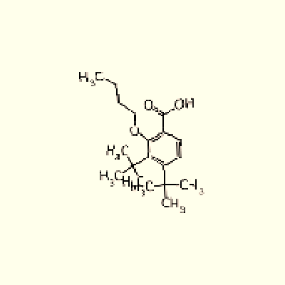 CCCCOc1c(C(=O)O)ccc(C(C)(C)C)c1C(C)(C)C